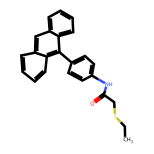 CCSCC(=O)Nc1ccc(-c2c3ccccc3cc3ccccc23)cc1